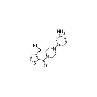 CCOc1ccsc1C(=O)N1CCN(c2cccc(N)c2)CC1